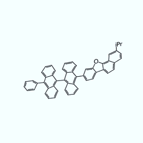 CC(C)c1ccc2ccc3c4ccc(-c5c6ccccc6c(-c6c7ccccc7c(-c7ccccc7)c7ccccc67)c6ccccc56)cc4oc3c2c1